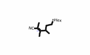 CCCCCCCCC(C)/C(C)=C(\C)C#N